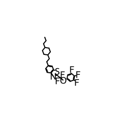 CCCC1CCC(CCc2ccc3nc(C(F)(F)Oc4cc(F)c(F)c(F)c4)sc3c2)CC1